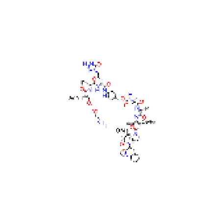 CC[C@H](C)[C@@H]([C@@H](CC(=O)N1CCC[C@H]1[C@H](OC)[C@@H](C)C(=O)N[C@@H](Cc1ccccc1)c1nccs1)OC)N(C)C(=O)[C@@H](NC(=O)C(C)(C)NC(=O)OCc1ccc(NC(=O)[C@H](CCCNC(N)=O)NC(=O)[C@@H](NC(=O)[C@H](COCCOCCN)NC(C)=O)C(C)C)cc1)C(C)C